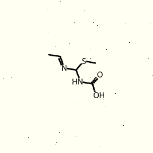 CC=NC(NC(=O)O)SC